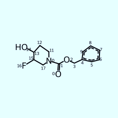 O=C(OCc1ccccc1)N1CCC(O)C(F)C1